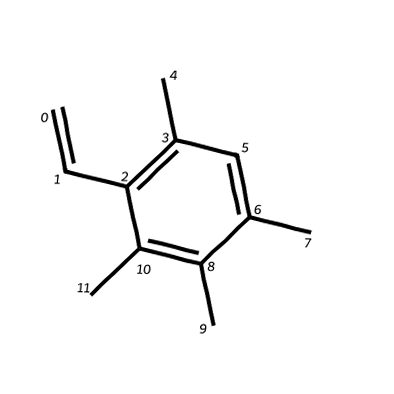 C=Cc1c(C)cc(C)c(C)c1C